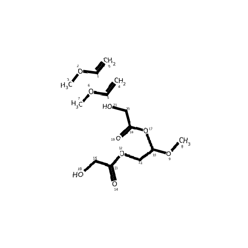 C=COC.C=COC.COC(COC(=O)CO)OC(=O)CO